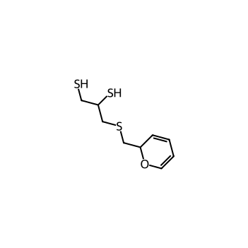 SCC(S)CSCC1C=CC=CO1